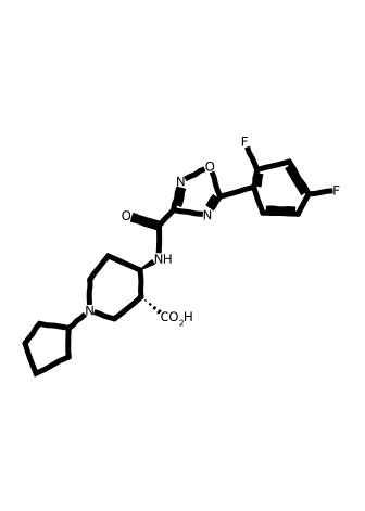 O=C(N[C@@H]1CCN(C2CCCC2)C[C@H]1C(=O)O)c1noc(-c2ccc(F)cc2F)n1